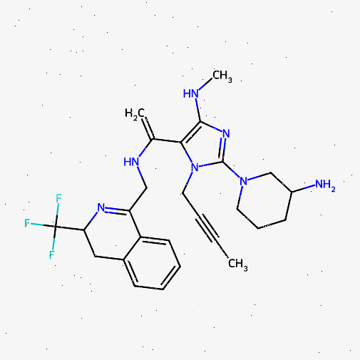 C=C(NCC1=NC(C(F)(F)F)Cc2ccccc21)c1c(NC)nc(N2CCCC(N)C2)n1CC#CC